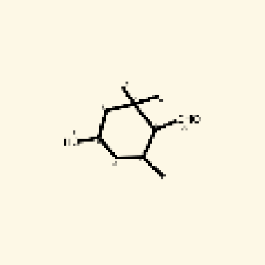 CC1CC(O)CC(C)(C)C1C=O